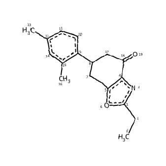 CCc1nc2c(o1)CC(c1ccc(C)cc1C)CC2=O